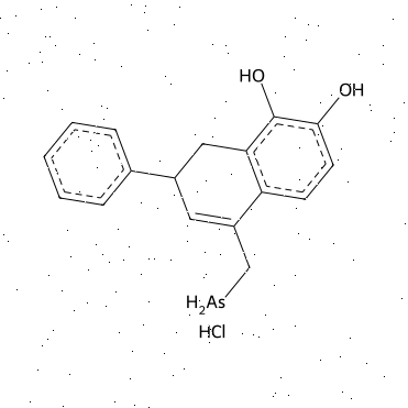 Cl.Oc1ccc2c(c1O)CC(c1ccccc1)C=C2C[AsH2]